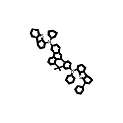 CC1(C)c2cc(N(c3ccccc3)c3cccc4c3sc3c(-c5ccccc5)cccc34)ccc2-c2cc3ccc(N(c4ccccc4)c4cccc5c4sc4ccccc45)cc3c3cccc1c23